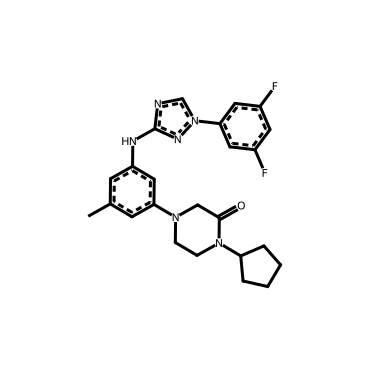 Cc1cc(Nc2ncn(-c3cc(F)cc(F)c3)n2)cc(N2CCN(C3CCCC3)C(=O)C2)c1